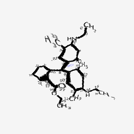 CCNC1=CC(=O)/C(=C(\c2cc(C)c(NCC)cc2C)c2ccccc2C(=O)OCC)C=C1C